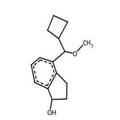 COC(c1cccc2c1CCC2O)C1CCC1